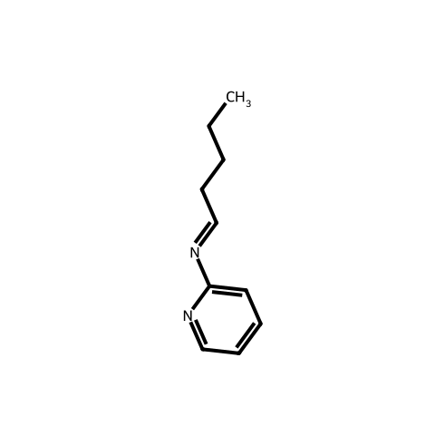 CCCCC=Nc1ccccn1